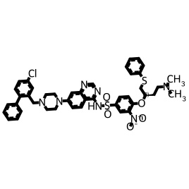 CN(C)CC[C@H](CSc1ccccc1)Oc1ccc(S(=O)(=O)Nc2ncnc3cc(N4CCN(Cc5cc(Cl)ccc5-c5ccccc5)CC4)ccc23)cc1[N+](=O)[O-]